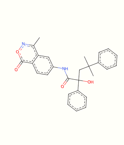 Cc1noc(=O)c2ccc(NC(=O)C(O)(CC(C)(C)c3ccccc3)c3ccccc3)cc12